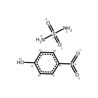 NS(N)(=O)=O.O=I(=O)c1ccc(O)cc1